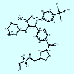 C=CS(=O)(=O)NCC1CCN(C(=O)c2ccc(C3C(CC4CCCNC4)C(O)CN3c3ccc(C(F)(F)F)cc3)cc2)C1